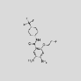 Nc1cc(C(=O)N[C@H]2CC[C@H](C(F)(F)F)CC2)c(OCCF)nc1N